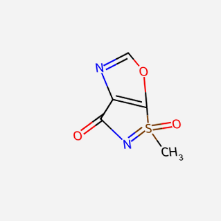 CS1(=O)=NC(=O)c2ncoc21